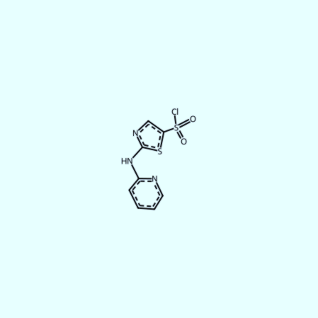 O=S(=O)(Cl)c1cnc(Nc2ccccn2)s1